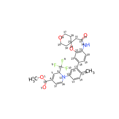 COC(=O)C1=CC(C(F)(F)F)N(c2ccc(C)c(-c3ccc4c(c3)OC3(CCOCC3)CC(=O)N4)c2)C=C1